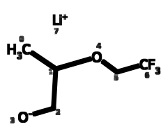 CC(C[O-])OCC(F)(F)F.[Li+]